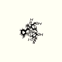 [N-]=[N+]=NC1C(O)[C@@H](CO)OC(S[C@@H]2OC(CO)[C@H](O)C(n3cc(-c4cccc(F)c4)nn3)[C@@H]2O)[C@@H]1O